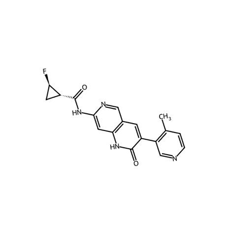 Cc1ccncc1-c1cc2cnc(NC(=O)[C@@H]3C[C@H]3F)cc2[nH]c1=O